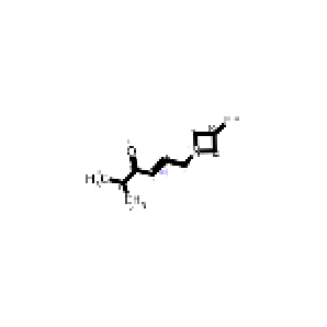 CC(C)C(=O)/C=C/CN1CC(F)C1